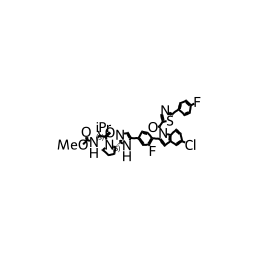 COC(=O)N[C@H](C(=O)N1CCC[C@H]1c1ncc(-c2cc(F)c3c(c2)OC(c2cnc(-c4ccc(F)cc4)s2)n2c-3cc3cc(Cl)ccc32)[nH]1)C(C)C